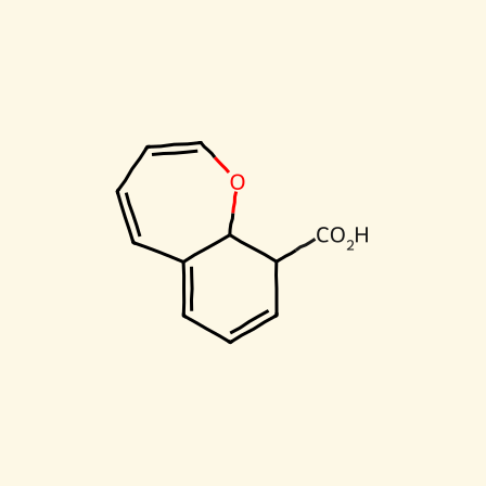 O=C(O)C1C=CC=C2C=CC=COC21